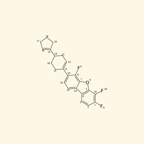 Fc1ccc2c(oc3c(F)c(C4=CCC(C5=CCCC5)CC4)ccc32)c1F